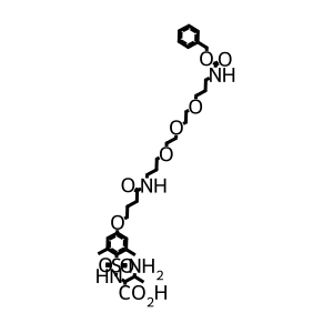 Cc1cc(OCCCC(=O)NCCCOCCOCCOCCCNC(=O)OCc2ccccc2)cc(C)c1S(=O)(=O)NC(C(=O)O)C(C)N